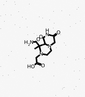 CC1(C(N)=O)C2C(=O)NC(=O)CN2CCN1CC(=O)O